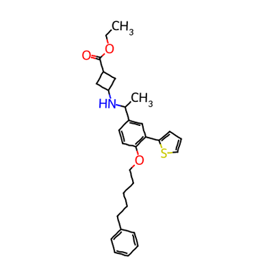 CCOC(=O)C1CC(NC(C)c2ccc(OCCCCCc3ccccc3)c(-c3cccs3)c2)C1